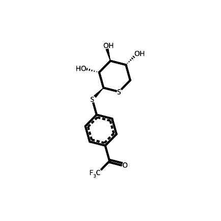 O=C(c1ccc(S[C@@H]2SC[C@@H](O)[C@H](O)[C@H]2O)cc1)C(F)(F)F